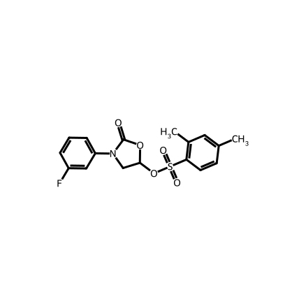 Cc1ccc(S(=O)(=O)OC2CN(c3cccc(F)c3)C(=O)O2)c(C)c1